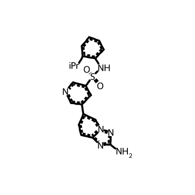 CC(C)c1ccccc1NS(=O)(=O)c1cncc(-c2ccc3nc(N)nn3c2)c1